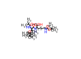 CC(C)C(=O)N[C@H](C(=O)NC(CCCCNC(=O)OC(C)(C)C)C(=O)O)[C@@H](C)O[Si](C)(C)C(C)(C)C